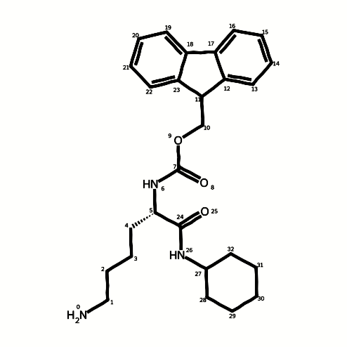 NCCCC[C@H](NC(=O)OCC1c2ccccc2-c2ccccc21)C(=O)NC1CCCCC1